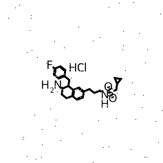 Cl.NC1CCc2ccc(CCCNS(=O)(=O)CC3CC3)cc2C1Cc1ccc(F)cc1